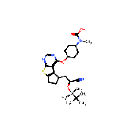 CN(C(=O)O)C1CCC(Oc2ncnc3sc4c(c23)[C@@H](CC(C#N)O[Si](C)(C)C(C)(C)C)CC4)CC1